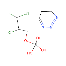 O[Si](O)(O)OCC(Cl)C(Cl)Cl.c1cnnnc1